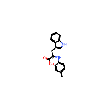 Cc1ccc(N[C@H](Cc2c[nH]c3ccccc23)C(=O)O)cc1